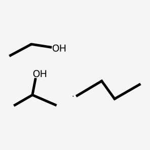 CC(C)O.CCO.[CH2]CCC